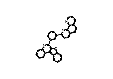 c1cc(-c2ccc3ccc4cccnc4c3n2)cc(-c2nc3ccccc3c3c2oc2ccccc23)c1